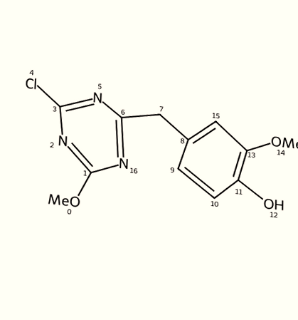 COc1nc(Cl)nc(Cc2ccc(O)c(OC)c2)n1